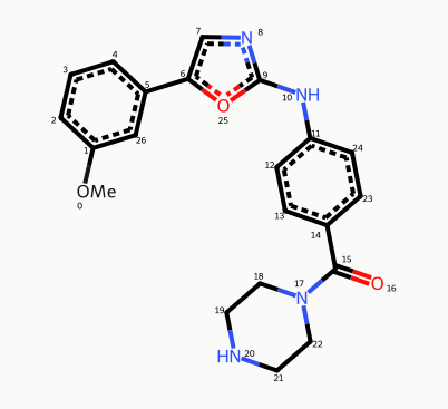 COc1cccc(-c2cnc(Nc3ccc(C(=O)N4CCNCC4)cc3)o2)c1